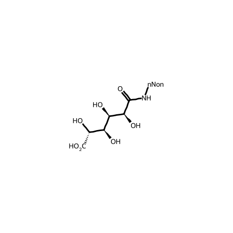 CCCCCCCCCNC(=O)[C@@H](O)[C@H](O)[C@@H](O)[C@@H](O)C(=O)O